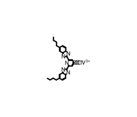 CCCCC1=CC2=NC(c3cccc(C4=NC5C=CC(CCCC)=CC5=N4)n3)=NC2C=C1.[Cl-].[Cl-].[Cl-].[V+3]